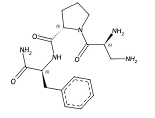 NC[C@H](N)C(=O)N1CCC[C@H]1C(=O)N[C@@H](Cc1ccccc1)C(N)=O